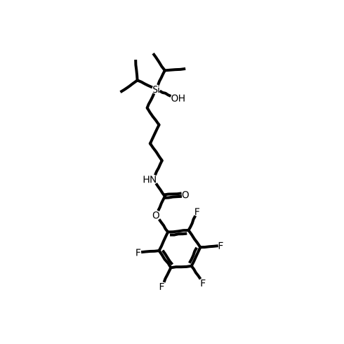 CC(C)[Si](O)(CCCCNC(=O)Oc1c(F)c(F)c(F)c(F)c1F)C(C)C